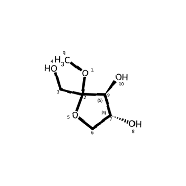 COC1(CO)OC[C@@H](O)[C@@H]1O